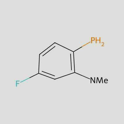 CNc1cc(F)ccc1P